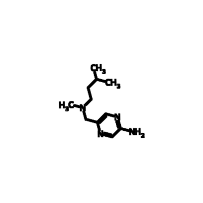 CC(C)CCN(C)Cc1cnc(N)cn1